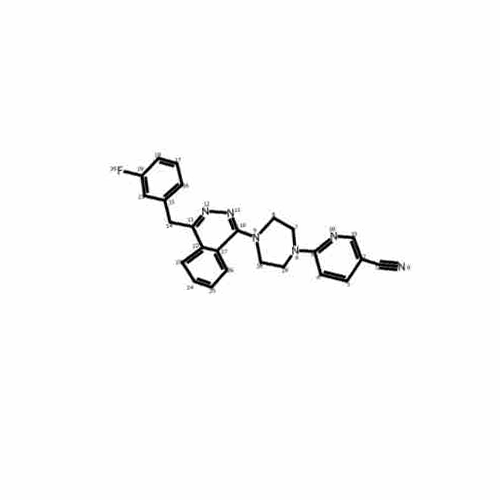 N#Cc1ccc(N2CCN(c3nnc(Cc4cccc(F)c4)c4ccccc34)CC2)nc1